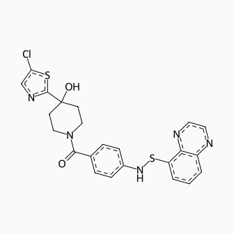 O=C(c1ccc(NSc2cccc3nccnc23)cc1)N1CCC(O)(c2ncc(Cl)s2)CC1